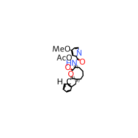 COc1ccnc(C(=O)N[C@H]2CCCC[C@@H](Cc3ccccc3)[C@H](C)OC2=O)c1OC(C)=O